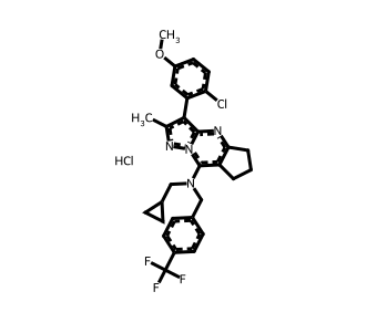 COc1ccc(Cl)c(-c2c(C)nn3c(N(Cc4ccc(C(F)(F)F)cc4)CC4CC4)c4c(nc23)CCC4)c1.Cl